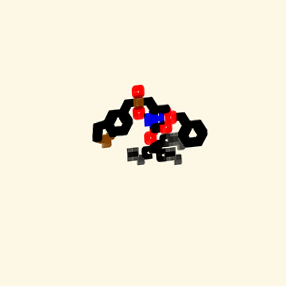 CC(C)(C)OC(=O)NC(COCc1ccccc1)CS(=O)(=O)Cc1ccc2sccc2c1